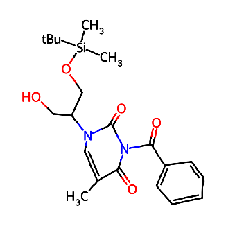 Cc1cn(C(CO)CO[Si](C)(C)C(C)(C)C)c(=O)n(C(=O)c2ccccc2)c1=O